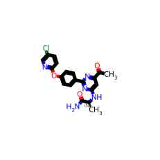 CC(=O)c1cc(N[C@@H](C)C(N)=O)nc(-c2ccc(Oc3ccc(Cl)cn3)cc2)n1